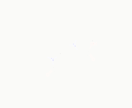 CC(C)N1Cc2c(cccc2C(C(=O)O)N2CCCC2)C1=O